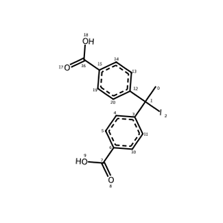 CC(I)(c1ccc(C(=O)O)cc1)c1ccc(C(=O)O)cc1